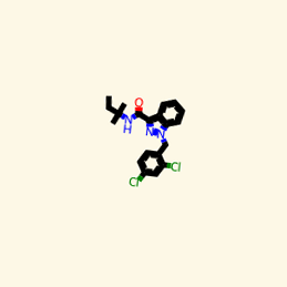 CCC(C)(C)NC(=O)c1nn(Cc2ccc(Cl)cc2Cl)c2ccccc12